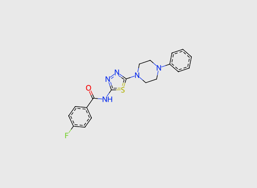 O=C(Nc1nnc(N2CCN(c3ccccc3)CC2)s1)c1ccc(F)cc1